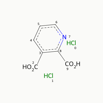 Cl.Cl.O=C(O)c1cccnc1C(=O)O